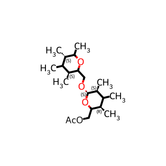 CC(=O)OCC1O[C@H](OCC2OC(C)[C@@H](C)C(C)[C@@H]2C)[C@@H](C)C(C)[C@H]1C